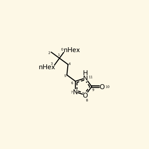 CCCCCCC(C)(CCCCCC)CCc1noc(=O)[nH]1